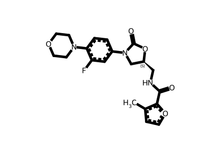 Cc1ccoc1C(=O)NC[C@H]1CN(c2ccc(N3CCOCC3)c(F)c2)C(=O)O1